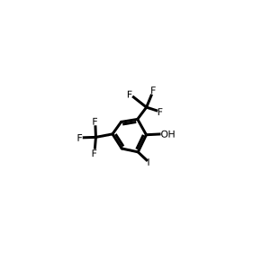 Oc1c(I)cc(C(F)(F)F)cc1C(F)(F)F